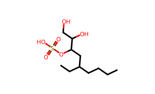 CCCCC(CC)CC(OS(=O)(=O)O)C(O)CO